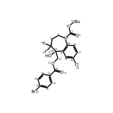 CC(C)(C)OC(=O)N1CCC(F)(F)[C@@](O)(COC(=O)c2ccc(Br)cc2)c2cc(Cl)ccc21